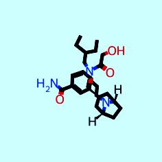 CCC(CC)CN(CCCN1[C@@H]2CC[C@H]1C[C@H](c1cccc(C(N)=O)c1)C2)C(=O)CO